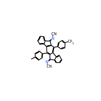 Cc1ccc(-c2c3/c(=N/C#N)c4ccccc4c3c(-c3ccc(C(F)(F)F)cc3)c3/c(=N/C#N)c4ccccc4c23)cc1